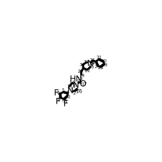 C[C@@H]1CN(c2cc(F)c(F)c(F)c2)CCN1C(=O)NCCC1CCN(Cc2ccccc2)CC1